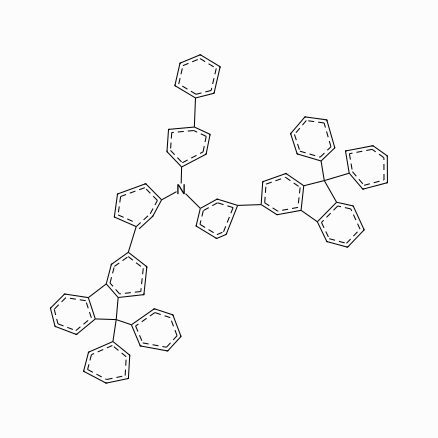 c1ccc(-c2ccc(N(c3cccc(-c4ccc5c(c4)-c4ccccc4C5(c4ccccc4)c4ccccc4)c3)c3cccc(-c4ccc5c(c4)-c4ccccc4C5(c4ccccc4)c4ccccc4)c3)cc2)cc1